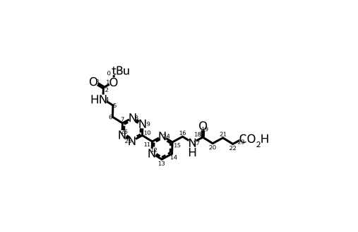 CC(C)(C)OC(=O)NCCc1nnc(-c2nccc(CNC(=O)CCCC(=O)O)n2)nn1